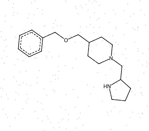 c1ccc(COCC2CCN(CC3CCCN3)CC2)cc1